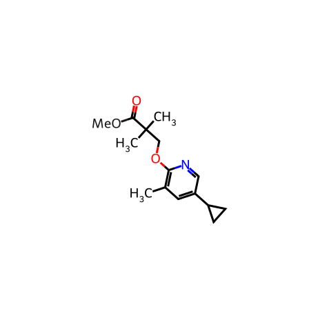 COC(=O)C(C)(C)COc1ncc(C2CC2)cc1C